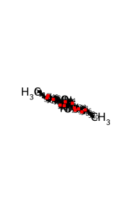 CCCCCC1CCC(c2ccc(Nc3cccc4c3C(=O)c3cccc(Nc5ccc(C6CCC(CCCCC)CC6)cc5)c3C4=O)cc2)CC1